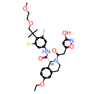 CCOc1ccc2c(c1)CCN(C(=O)Cc1cc(O)no1)[C@H]2C(=O)Nc1cc(F)c(C(C)(C)COCCOC)c(F)c1